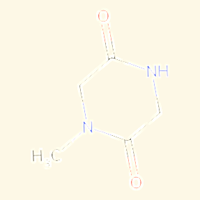 CN1CC(=O)NCC1=O